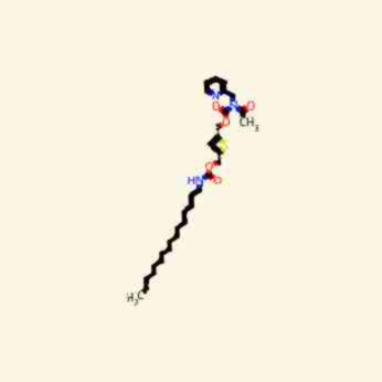 CCCCCCCCCCCCCCCCNC(=O)OC[C@H]1C[C@H](COC(=O)N(Cc2ccccn2)C(C)=O)S1